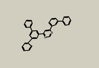 c1ccc(-c2cccc(-c3cc(-c4cc(-c5ccccc5)cc(-c5ccccc5)c4)ncn3)c2)cc1